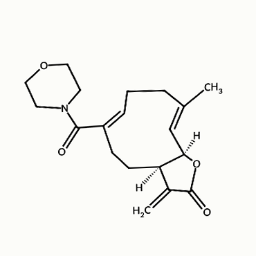 C=C1C(=O)O[C@@H]2/C=C(\C)CC/C=C(\C(=O)N3CCOCC3)CC[C@H]12